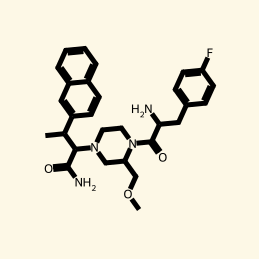 COCC1CN(C(C(N)=O)C(C)c2ccc3ccccc3c2)CCN1C(=O)C(N)Cc1ccc(F)cc1